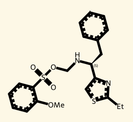 CCc1nc([C@H](Cc2cc[c]cc2)NCOS(=O)(=O)c2ccccc2OC)cs1